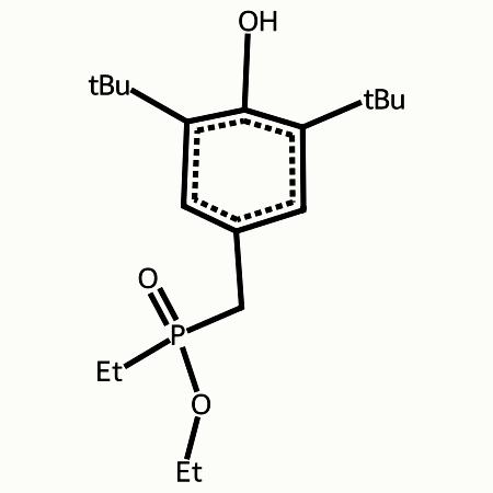 CCOP(=O)(CC)Cc1cc(C(C)(C)C)c(O)c(C(C)(C)C)c1